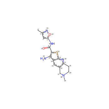 Cc1cc(NC(=O)c2sc3nc4c(cc3c2N)CN(C)CC4)on1